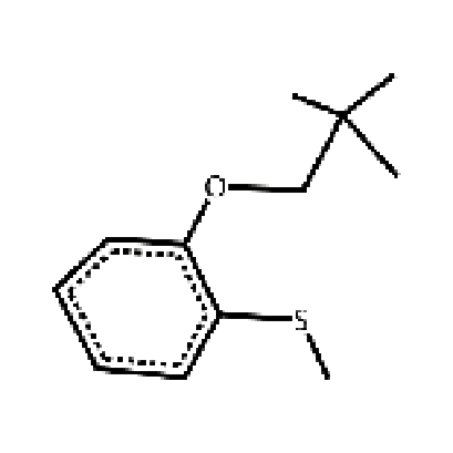 CSc1ccccc1OCC(C)(C)C